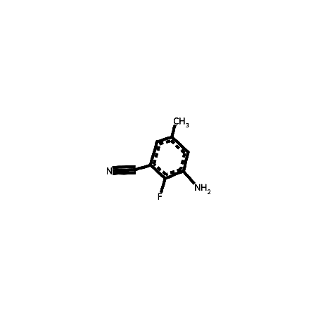 Cc1cc(N)c(F)c(C#N)c1